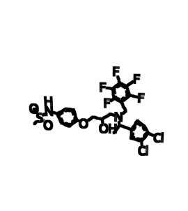 CC(c1ccc(Cl)c(Cl)c1)N(Cc1c(F)c(F)c(F)c(F)c1F)CC(O)COc1ccc(NS(C)(=O)=O)cc1